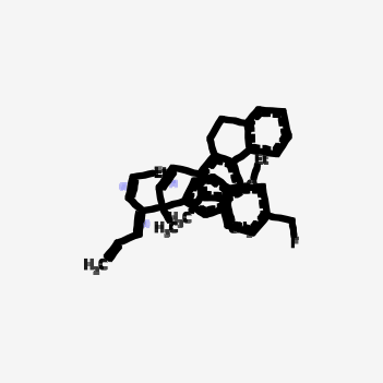 C=C/C=C(\C=C/CC)C(C)(/C=C\c1c2c(c3cc(CF)ccc3c1C)-c1ccccc1CC2)c1ccc(OCC)c(C)c1